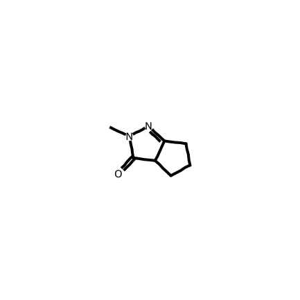 CN1N=C2CCCC2C1=O